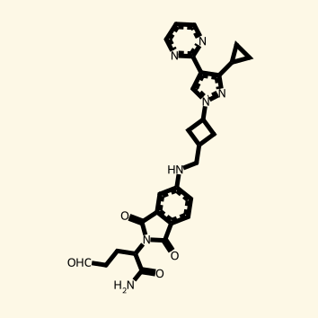 NC(=O)C(CCC=O)N1C(=O)c2ccc(NCC3CC(n4cc(-c5ncccn5)c(C5CC5)n4)C3)cc2C1=O